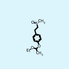 CCOC(C)Oc1ccc(CC[S+](C)[O-])cc1